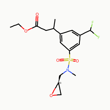 CCOC(=O)CC(C)c1cc(C(F)F)cc(S(=O)(=O)N(C)C[C@H]2CO2)c1